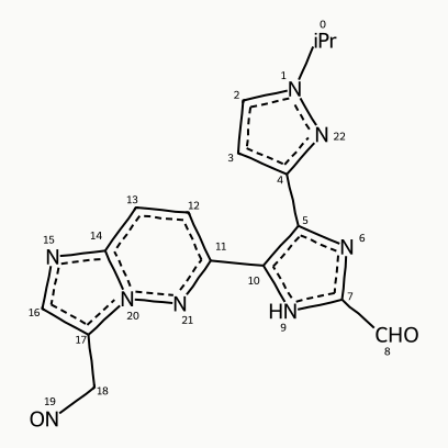 CC(C)n1ccc(-c2nc(C=O)[nH]c2-c2ccc3ncc(CN=O)n3n2)n1